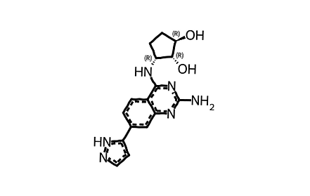 Nc1nc(N[C@@H]2CC[C@@H](O)[C@@H]2O)c2ccc(-c3ccn[nH]3)cc2n1